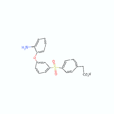 Nc1ccccc1Oc1cccc(S(=O)(=O)c2ccc(CC(=O)O)cc2)c1